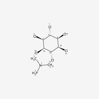 CN(C)P.Cl[C@H]1[C@H](Cl)[C@@H](Cl)[C@@H](Cl)[C@H](Cl)[C@H]1Cl